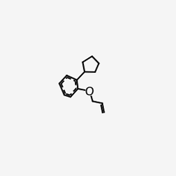 C=CCOc1ccccc1C1CCCC1